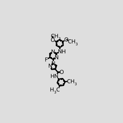 COc1cc(Nc2ncc(F)c(-n3cc(C(=O)Nc4cc(C)cc(C)c4)cn3)n2)cc(OC)c1